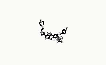 C[C@H](Oc1cc(-c2nn(C)c3c(-c4cnn(CCN5CCN(C)CC5)c4)cnc(N)c23)ccc1NS(=O)(=O)C(F)F)c1ccc(F)cc1